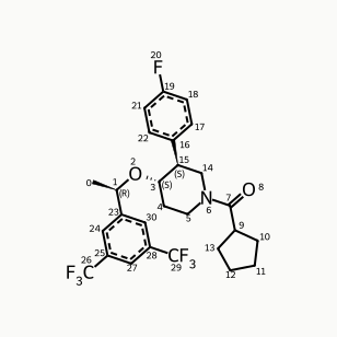 C[C@@H](O[C@H]1CCN(C(=O)C2CCCC2)C[C@@H]1c1ccc(F)cc1)c1cc(C(F)(F)F)cc(C(F)(F)F)c1